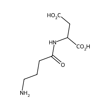 NCCCC(=O)NC(CC(=O)O)C(=O)O